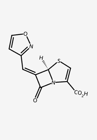 O=C(O)C1=CS[C@@H]2C(=Cc3ccon3)C(=O)N12